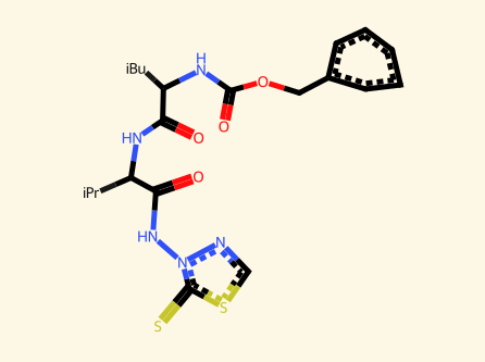 CCC(C)C(NC(=O)OCc1ccccc1)C(=O)NC(C(=O)Nn1ncsc1=S)C(C)C